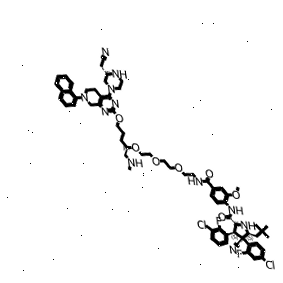 CNC[C@@H](CCCOc1nc2c(c(N3CCN[C@@H](CC#N)C3)n1)CCN(c1cccc3ccccc13)C2)OCCOCCOCCNC(=O)c1ccc(NC(=O)[C@@H]2N[C@@H](CC(C)(C)C)[C@](C#N)(c3ccc(Cl)cc3F)[C@H]2c2cccc(Cl)c2F)c(OC)c1